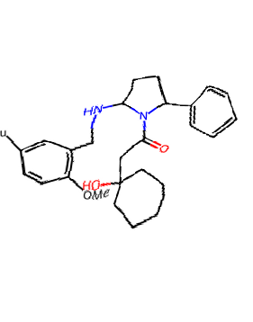 COc1ccc(C(C)(C)C)cc1CNC1CCC(c2ccccc2)N1C(=O)CC1(O)CCCCC1